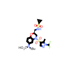 Cc1c(S(=O)(=O)N2C[C@H](CNS(=O)(=O)C3CC3)Oc3ccc(N(C(=O)O)C(C)(C)C)cc32)cnn1C(F)F